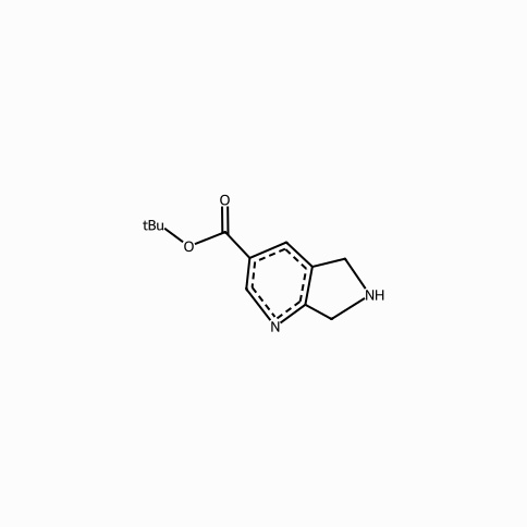 CC(C)(C)OC(=O)c1cnc2c(c1)CNC2